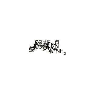 Nc1nc(Cl)nc2c1ncn2[C@@H]1O[C@H](COC(Cc2ccsc2)(C(=O)O)C(=O)O)C[C@@H]1F